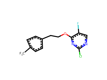 Fc1cnc(Cl)nc1OCCc1ccc(C(F)(F)F)cc1